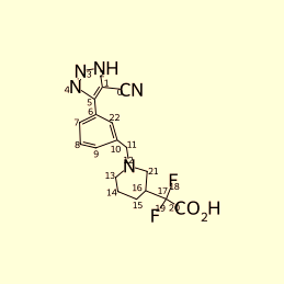 N#Cc1[nH]nnc1-c1cccc(CN2CCCC(C(F)(F)C(=O)O)C2)c1